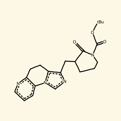 CC(C)(C)OC(=O)N1CCCC(Cc2ncn3c2CCc2ncccc2-3)C1=O